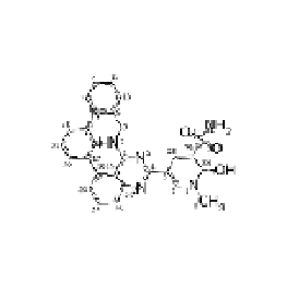 CN1C=C(c2nc(NCc3ccccn3)c3c(-c4ccccc4)cccc3n2)C=C(S(N)(=O)=O)C1O